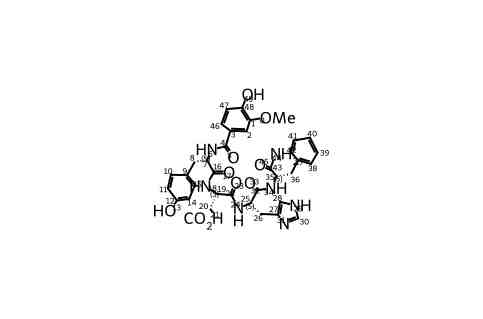 COc1cc(C(=O)N[C@@H](Cc2ccc(O)cc2)C(=O)N[C@@H](CC(=O)O)C(=O)N[C@@H](Cc2c[nH]cn2)C(=O)N[C@@H](Cc2ccccc2)C(N)=O)ccc1O